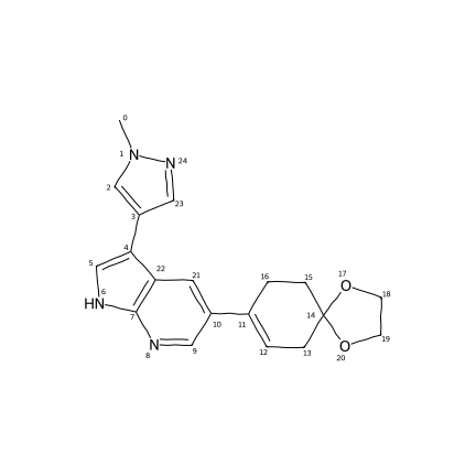 Cn1cc(-c2c[nH]c3ncc(C4=CCC5(CC4)OCCO5)cc23)cn1